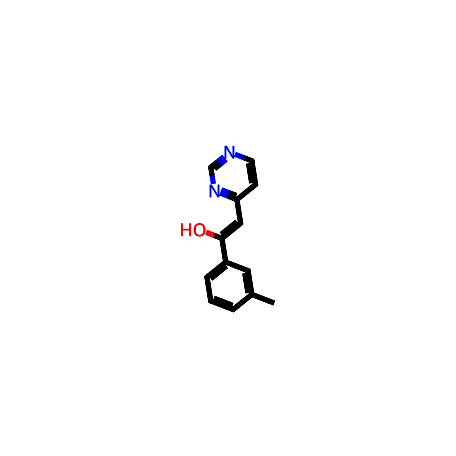 Cc1cccc(C(O)=Cc2ccncn2)c1